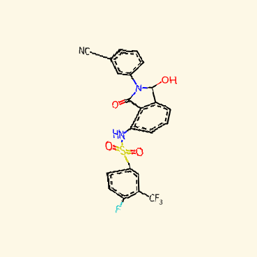 N#Cc1cccc(N2C(=O)c3c(NS(=O)(=O)c4ccc(F)c(C(F)(F)F)c4)cccc3C2O)c1